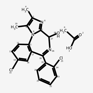 CC(=O)O.Cc1nc2n(c1C)-c1ccc(Cl)cc1C(c1ccccc1Cl)=NC2O